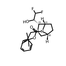 CC(C)(C)OC(=O)N1[C@@H]2CC[C@H]1[C@@H](C(O)C(F)F)N(Cc1ccccc1)C2